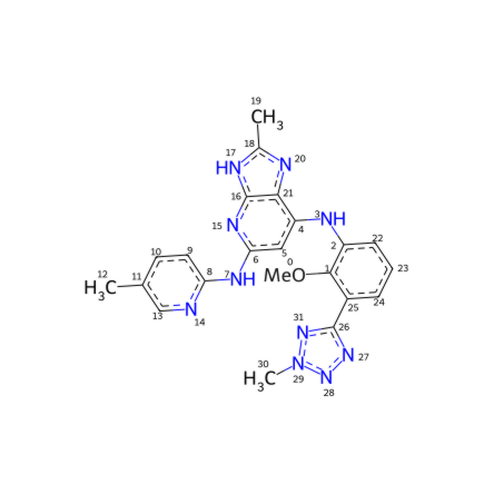 COc1c(Nc2cc(Nc3ccc(C)cn3)nc3[nH]c(C)nc23)cccc1-c1nnn(C)n1